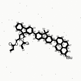 C=CC(=O)OCCCC1(COC(=O)C=C)c2ccccc2-c2ccc(-c3ccc4c(c3)C(C)(C)c3cc(C5=C6C=CC7=CC(C(C)(C)C)=CC8=CC=C(C=C5)C6C87)ccc3-4)cc21